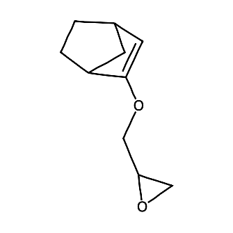 C1=C(OCC2CO2)C2CCC1C2